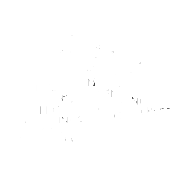 CCCCCNC(=O)NC1CC(CNC(=O)c2ccccc2)C(N(C)C)CN1C(c1ccccc1)c1ccccc1